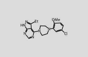 CCc1n[nH]c2ncnc(N3CCN(c4cc(Cl)ccc4OC)CC3)c12